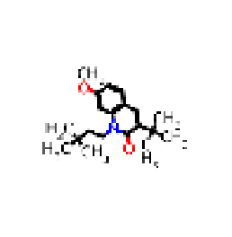 COc1ccc2cc(C(C)(C)C)c(=O)n(CCC(C)(C)C)c2c1